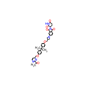 CC(=O)c1nccc(COc2ccc(C(C)(C)c3ccc(OCC4CN(c5ccc6c(c5)C(=O)N(C5CCC(=O)NC5=O)C6=O)C4)cc3)cc2)n1